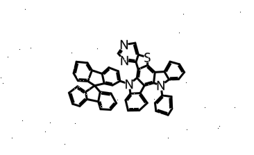 c1ccc(-n2c3ccccc3c3c4sc5cncnc5c4c4c(c5ccccc5n4-c4ccc5c(c4)C4(c6ccccc6-c6ccccc64)c4ccccc4-5)c32)cc1